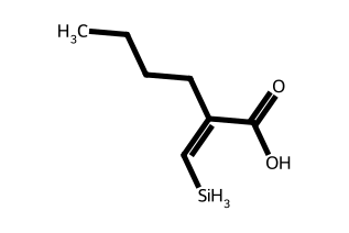 CCCCC(=C[SiH3])C(=O)O